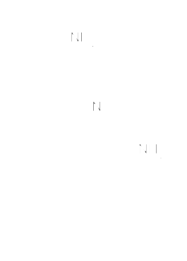 NCc1cc2ccccc2c(N)n1